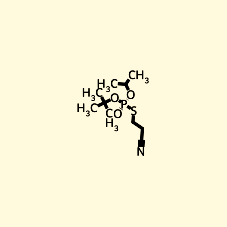 CC(C)OP(=O)(OC(C)(C)C)SCCC#N